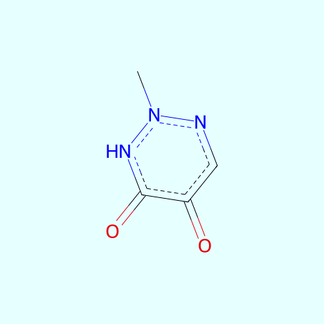 Cn1ncc(=O)c(=O)[nH]1